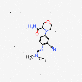 CN(C)/C=N/c1ccc(N2CCOCC2C(N)=O)cc1C#N